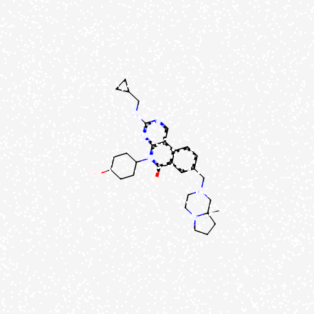 O=c1c2cc(CN3CCN4CCC[C@H]4C3)ccc2c2cnc(NCC3CC3)nc2n1C1CCC(O)CC1